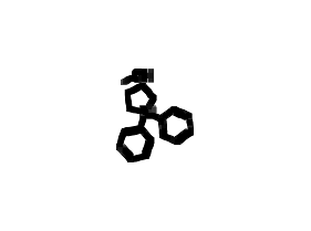 CO.c1ccc([N+]2(c3ccccc3)CCCC2)cc1